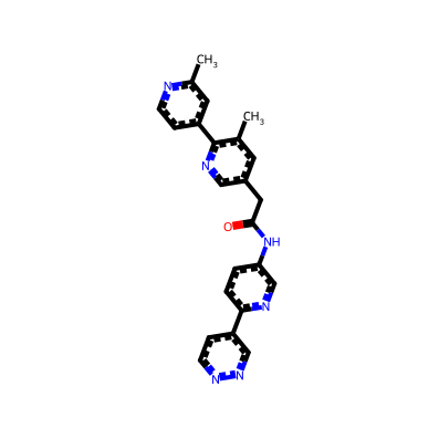 Cc1cc(-c2ncc(CC(=O)Nc3ccc(-c4ccnnc4)nc3)cc2C)ccn1